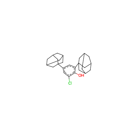 Oc1c(Cl)cc(C23CC4CC(CC(C4)C2)C3)cc1C12CC3CC(CC(C3)C1)C2